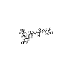 C=C(CCNC(=O)COc1ccc(Cl)c(F)c1)NC(=O)C1CN(C(=O)c2ccno2)c2cc(Cl)ccc2O1